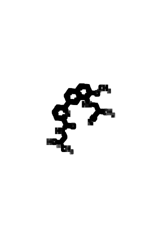 C=C(C#N)CNc1c(OC)ccc2ccc(-c3cccc(C(=O)NC[C@H](C)O)n3)cc12